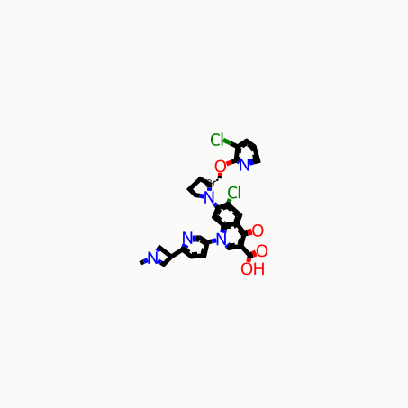 CN1CC(c2ccc(-n3cc(C(=O)O)c(=O)c4cc(Cl)c(N5CCC[C@@H]5COc5ncccc5Cl)cc43)cn2)C1